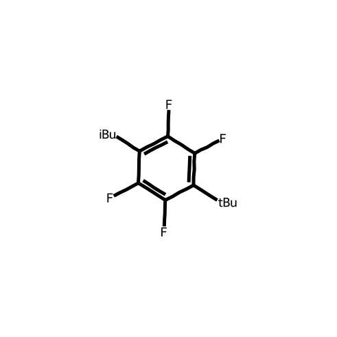 CCC(C)c1c(F)c(F)c(C(C)(C)C)c(F)c1F